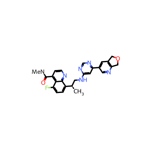 CNC(=O)c1ccnc2c([C@H](C)CNc3cc(-c4cnc5c(c4)COC5)ncn3)ccc(F)c12